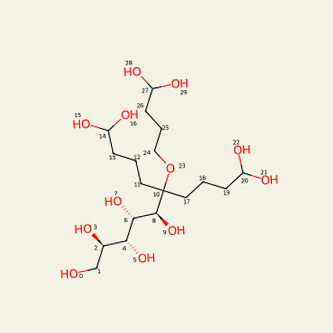 OC[C@@H](O)[C@@H](O)[C@H](O)[C@H](O)C(CCCC(O)O)(CCCC(O)O)OCCCC(O)O